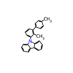 Cc1ccc(-c2cccc(-n3c4ccccc4c4ccccc43)c2C)cc1